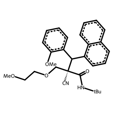 COCCOC[C@](C#N)(C(=O)NC(C)(C)C)C(c1ccccc1OC)c1cccc2ccccc12